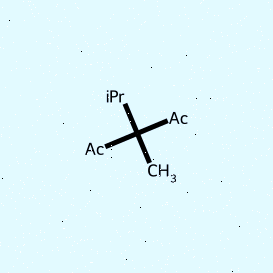 CC(=O)C(C)(C(C)=O)C(C)C